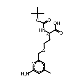 Cc1cc(N)nc(CSCC[C@@H](NC(=O)OC(C)(C)C)C(=O)O)c1